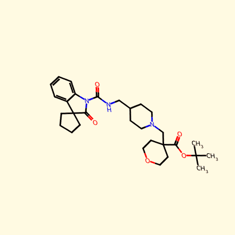 CC(C)(C)OC(=O)C1(CN2CCC(CNC(=O)N3C(=O)C4(CCCC4)c4ccccc43)CC2)CCOCC1